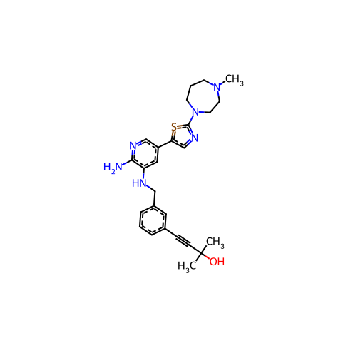 CN1CCCN(c2ncc(-c3cnc(N)c(NCc4cccc(C#CC(C)(C)O)c4)c3)s2)CC1